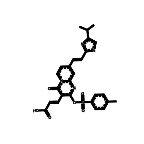 Cc1ccc(S(=O)(=O)Oc2nc3cc(C=Cc4nc(C(C)C)cs4)ccn3c(=O)c2C=CC(=O)O)cc1